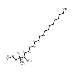 CCCCCCCCCCCCCCCCCC([SiH3])[N+](C)(C)CCC